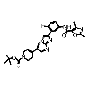 Cc1nc(C)c(C(=O)Nc2ccc(F)c(-c3cn4cc(C5=CCN(C(=O)OC(C)(C)C)CC5)cnc4n3)c2)o1